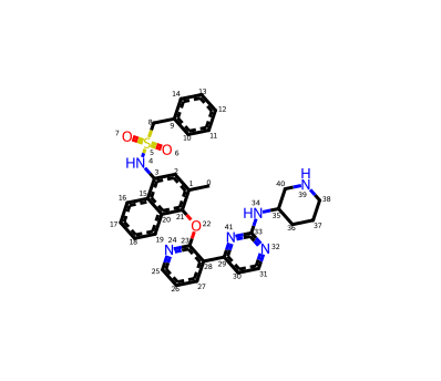 Cc1cc(NS(=O)(=O)Cc2ccccc2)c2ccccc2c1Oc1ncccc1-c1ccnc(NC2CCCNC2)n1